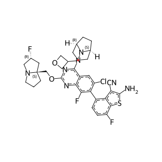 N#Cc1c(N)sc2c(F)ccc(-c3c(Cl)cc4c(N5C[C@H]6CC[C@@H](C5)N6CC5COC5)nc(OC[C@@]56CCCN5C[C@H](F)C6)nc4c3F)c12